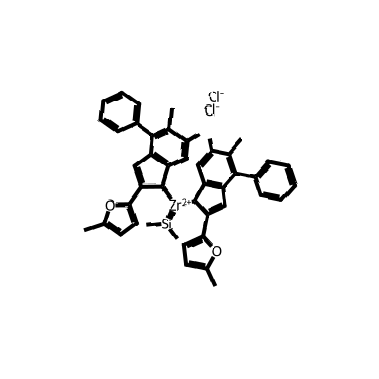 Cc1ccc(C2=Cc3c(cc(C)c(C)c3-c3ccccc3)[CH]2[Zr+2]([CH]2C(c3ccc(C)o3)=Cc3c2cc(C)c(C)c3-c2ccccc2)=[Si](C)C)o1.[Cl-].[Cl-]